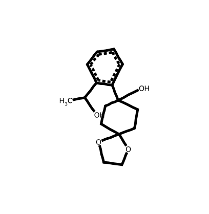 CC(O)c1ccccc1C1(O)CCC2(CC1)OCCO2